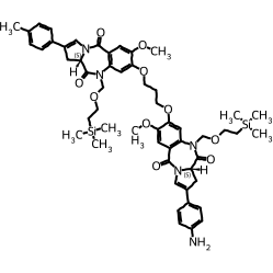 COc1cc2c(cc1OCCCOc1cc3c(cc1OC)C(=O)N1C=C(c4ccc(N)cc4)C[C@H]1C(=O)N3COCC[Si](C)(C)C)N(COCC[Si](C)(C)C)C(=O)[C@@H]1CC(c3ccc(C)cc3)=CN1C2=O